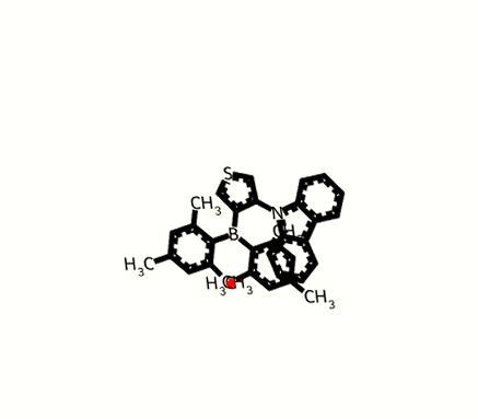 Cc1cc(C)c(B(c2cscc2-n2c3ccccc3c3ccccc32)c2c(C)cc(C)cc2C)c(C)c1